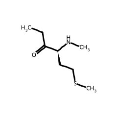 CCC(=O)[C@H](CCSC)NC